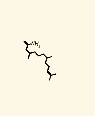 C=C(N)CC(C)CCCC(C)CCC=C(C)C